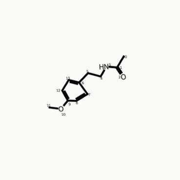 [CH2]C(=O)NCCc1ccc(OC)cc1